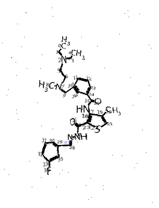 CCN(CC)CCN(C)Cc1cccc(C(=O)Nc2c(C)csc2C(=O)N/N=C/c2cccc(F)c2)c1